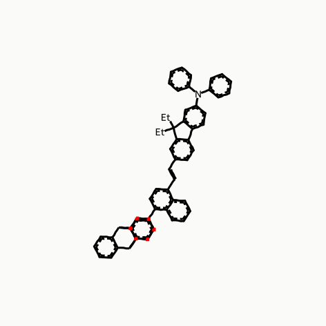 CCC1(CC)c2cc(/C=C/c3ccc(-c4ccc5c(c4)C4c6ccccc6C5C5CCC=CC45)c4ccccc34)ccc2-c2ccc(N(c3ccccc3)c3ccccc3)cc21